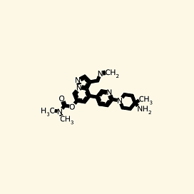 C=NCc1cnn2cc(OC(=O)N(C)C)cc(-c3ccc(N4CCC(C)(N)CC4)nc3)c12